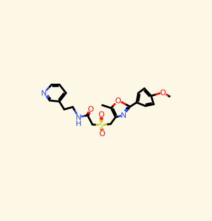 COc1ccc(-c2nc(CS(=O)(=O)CC(=O)NCCc3cccnc3)c(C)o2)cc1